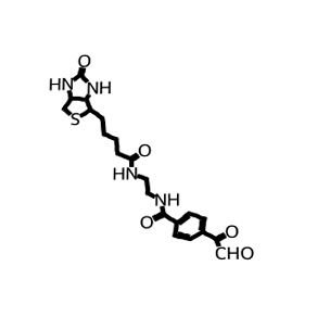 O=CC(=O)c1ccc(C(=O)NCCNC(=O)CCCCC2SCC3NC(=O)NC32)cc1